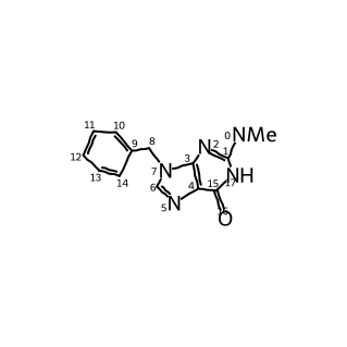 CNc1nc2c(ncn2Cc2ccccc2)c(=O)[nH]1